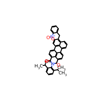 CC(C)c1cccc(C(C)C)c1N1C(=O)c2ccc3c4cccc5c(Cc6ccccc6[N+](=O)[O-])ccc(c6ccc(c2c36)C1=O)c54